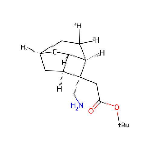 [2H]C1([2H])C[C@H]2C[C@@H]3[C@H](C2)[C@](CN)(CC(=O)OC(C)(C)C)[C@@H]31